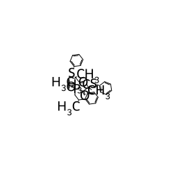 CC(CP(=O)(C(=O)C(C)(C)Sc1ccccc1)C(=O)C(C)(C)Sc1ccccc1)c1ccccc1